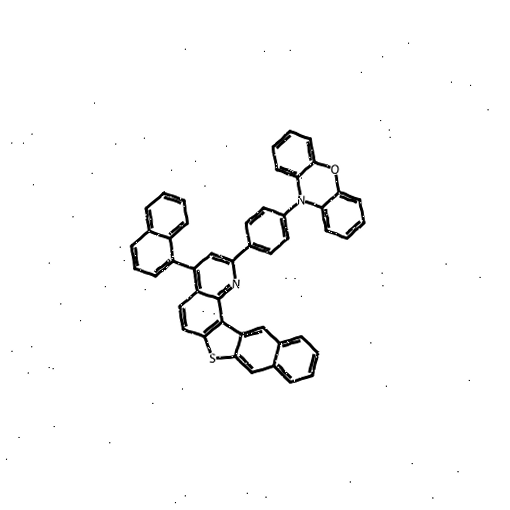 c1ccc2c(c1)Oc1ccccc1N2c1ccc(-c2cc(-c3cccc4ccccc34)c3ccc4sc5cc6ccccc6cc5c4c3n2)cc1